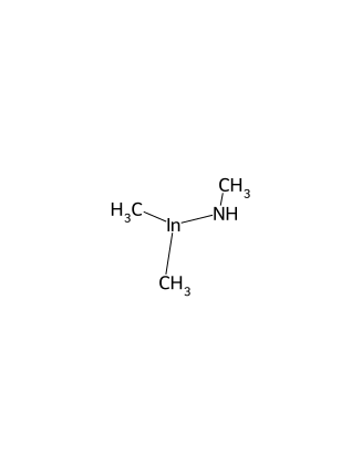 C[NH][In]([CH3])[CH3]